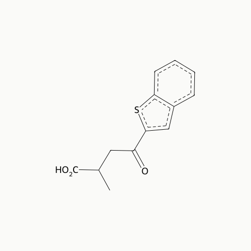 CC(CC(=O)c1cc2ccccc2s1)C(=O)O